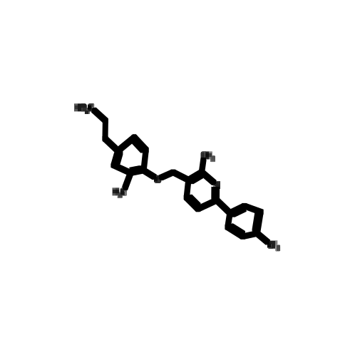 Cc1cc(CCC(=O)O)ccc1OCc1ccc(-c2ccc(C(F)(F)F)cc2)nc1C